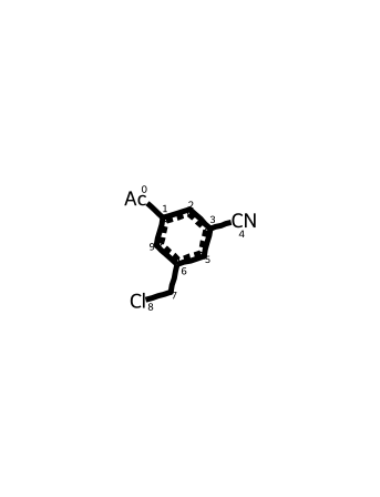 CC(=O)c1cc(C#N)cc(CCl)c1